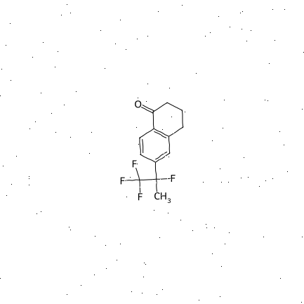 CC(F)(c1ccc2c(c1)CCCC2=O)C(F)(F)F